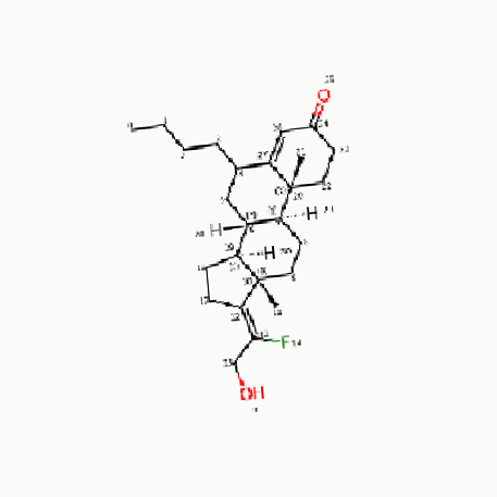 CCCCC1C[C@@H]2[C@H](CC[C@]3(C)C(=C(F)CO)CC[C@@H]23)[C@@]2(C)CCC(=O)C=C12